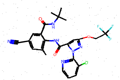 Cc1cc(C#N)cc(C(=O)NC(C)(C)C)c1NC(=O)c1cc(OCC(F)(F)F)nn1-c1ncccc1Cl